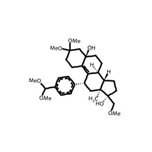 COC[C@]1(O)CC[C@H]2[C@@H]3CC[C@@]4(O)CC(OC)(OC)CCC4=C3[C@@H](c3ccc(C(OC)OC)cc3)C[C@@]21C